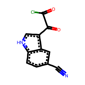 N#Cc1ccc2[nH]cc(C(=O)C(=O)Cl)c2c1